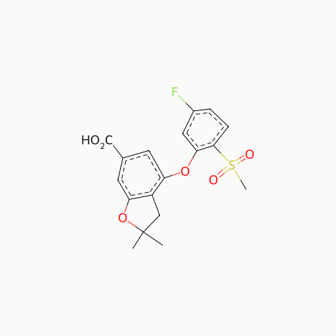 CC1(C)Cc2c(Oc3cc(F)ccc3S(C)(=O)=O)cc(C(=O)O)cc2O1